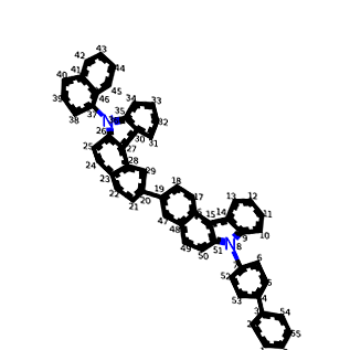 c1ccc(-c2ccc(-n3c4ccccc4c4c5ccc(-c6ccc7ccc8c(c7c6)c6ccccc6n8-c6cccc7ccccc67)cc5ccc43)cc2)cc1